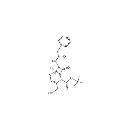 CC(C)(C)OC(=O)C1C(CO)=CS[C@H]2C(NC(=O)Cc3ccccc3)C(=O)N12